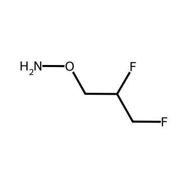 NOCC(F)CF